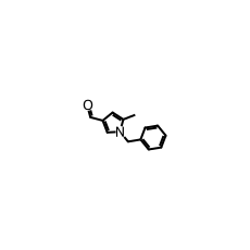 Cc1cc(C=O)cn1Cc1ccccc1